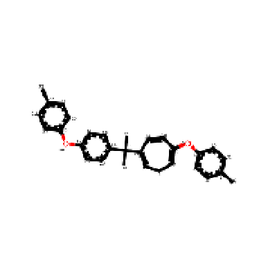 Cc1ccc(OC2=CCC=C(C(C)(C)c3ccc(Oc4ccc(C)cc4)cc3)C=C2)cc1